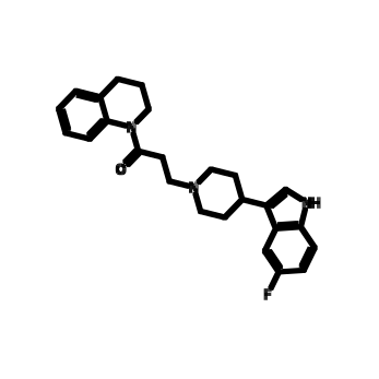 O=C(CCN1CCC(c2c[nH]c3ccc(F)cc23)CC1)N1CCCc2ccccc21